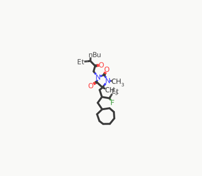 CCCCC(CC)C(=O)CN1C(=O)N(C)C(C)(CC(CC2CCCCCCC2)C(F)CC)C1=O